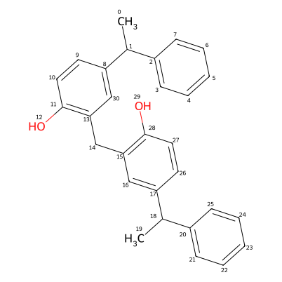 CC(c1ccccc1)c1ccc(O)c(Cc2cc(C(C)c3ccccc3)ccc2O)c1